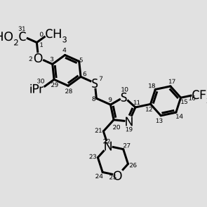 CC(Oc1ccc(SCc2sc(-c3ccc(C(F)(F)F)cc3)nc2CN2CCOCC2)cc1C(C)C)C(=O)O